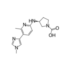 Cc1nc(N[C@H]2CCN(C(=O)O)C2)ccc1-c1cn(C)cn1